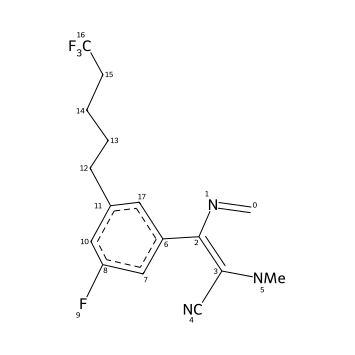 C=N/C(=C(/C#N)NC)c1cc(F)cc(CCCCC(F)(F)F)c1